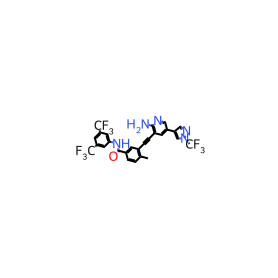 Cc1ccc(C(=O)Nc2cc(C(F)(F)F)cc(C(F)(F)F)c2)cc1C#Cc1cc(-c2cnn(C(F)(F)F)c2)cnc1N